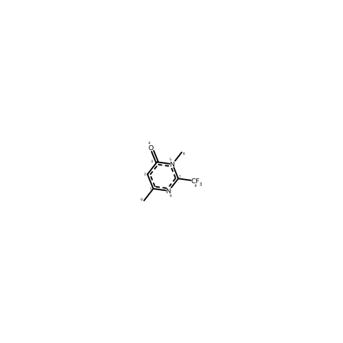 Cc1cc(=O)n(C)c(C(F)(F)F)n1